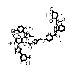 Cc1nc([C@@H]2O[C@H](CO)[C@H](O)[C@H](n3cc(-c4cc(F)c(Cl)c(F)c4)nn3)[C@H]2OCC(=O)N2CC(COc3ccc(C(=O)Nc4cccc5c4CN(C4CCC(=O)NC4=O)C5=O)nc3)C2)n(-c2cc(Cl)ccc2C(F)(F)F)n1